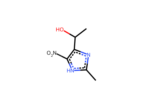 Cc1nc(C(C)O)c([N+](=O)[O-])[nH]1